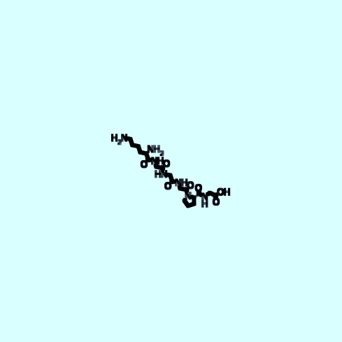 NCCCC[C@H](N)C(=O)NCC(=O)NCC(=O)NCC(=O)N1CCC[C@H]1C(=O)NCC(=O)O